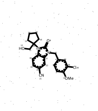 COc1ccc(Cn2c(=O)n(C3(CO)CCCC3)c3ccc(C#N)cc32)cc1Cl